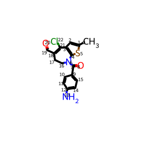 Cc1cc2c(s1)N(C(=O)c1ccc(N)cc1)CCC(C=O)=C2Cl